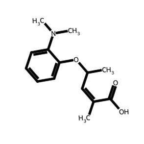 CC(=CC(C)Oc1ccccc1N(C)C)C(=O)O